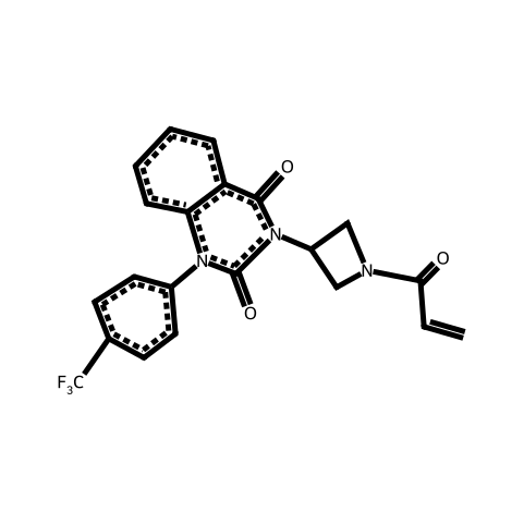 C=CC(=O)N1CC(n2c(=O)c3ccccc3n(-c3ccc(C(F)(F)F)cc3)c2=O)C1